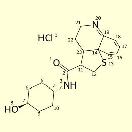 Cl.O=C(N[C@H]1CC[C@H](O)CC1)C1CSC23C=CC=CC2=NCCC13